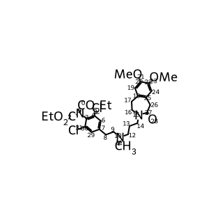 CCOC(=O)N(C(=O)OCC)c1c(Cl)cc(CCN(C)CCCN2CCc3cc(OC)c(OC)cc3CC2=O)cc1Cl